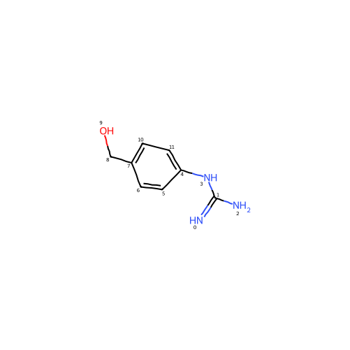 N=C(N)Nc1ccc(CO)cc1